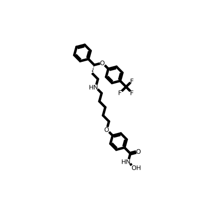 O=C(NO)c1ccc(OCCCCCNCC[C@@H](Oc2ccc(C(F)(F)F)cc2)c2ccccc2)cc1